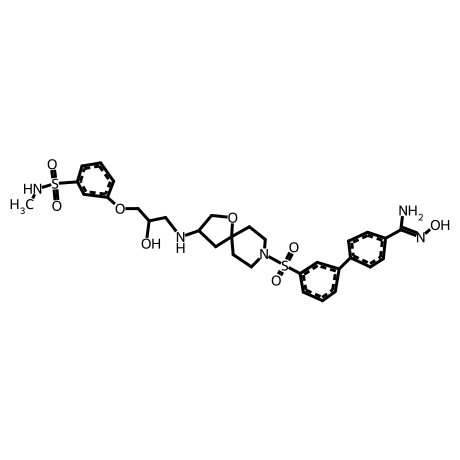 CNS(=O)(=O)c1cccc(OCC(O)CNC2COC3(CCN(S(=O)(=O)c4cccc(-c5ccc(/C(N)=N/O)cc5)c4)CC3)C2)c1